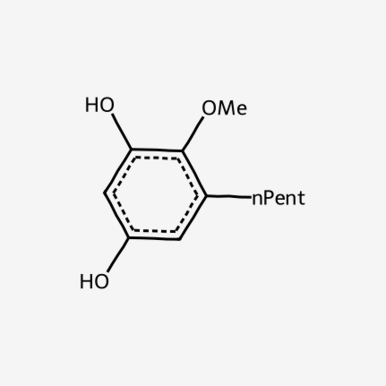 CCCCCc1cc(O)cc(O)c1OC